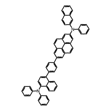 c1ccc(N(c2ccc3ccccc3c2)c2cc3ccc4cc(-c5ccc(-c6ccc(N(c7ccccc7)c7ccccc7)c7ccccc67)cc5)cc5ccc(c2)c3c45)cc1